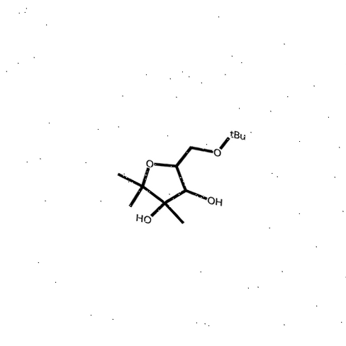 CC(C)(C)OCC1OC(C)(C)C(C)(O)C1O